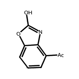 CC(=O)c1c[c]cc2oc(O)nc12